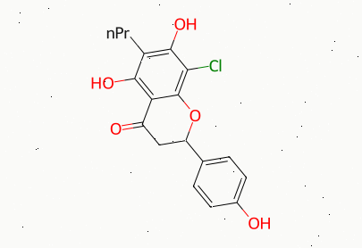 CCCc1c(O)c(Cl)c2c(c1O)C(=O)CC(c1ccc(O)cc1)O2